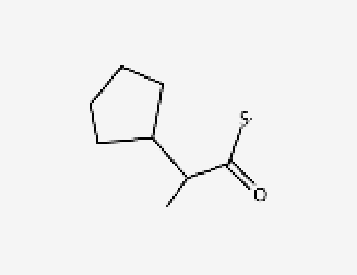 CC(C(=O)[S])C1CCCC1